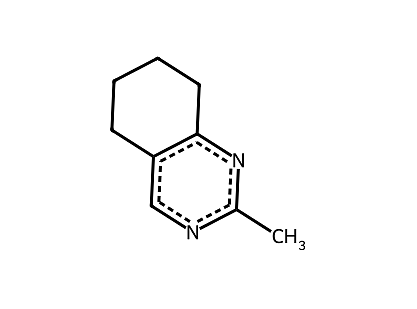 Cc1ncc2c(n1)CCCC2